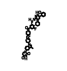 Cc1cn(C2CCN(CC3(F)CCN(C(=O)c4cc(F)c([C@H]5CCCN(c6cc(-c7ccccc7O)nnc6N)C5)c(F)c4)CC3)CC2)c2ccc(N3CCC(=O)NC3=O)cc12